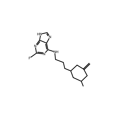 C=C1CC(C)CC(CCCNc2nc(F)nc3[nH]cnc23)C1